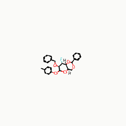 Cc1ccc(OC2O[C@@H]3COC(c4ccccc4)O[C@H]3[C@H](F)[C@@H]2OCc2ccccc2)cc1